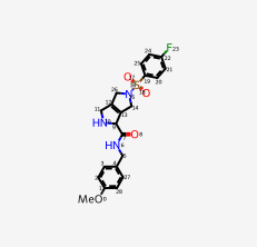 COc1ccc(CNC(=O)C2NCC3=C2CN(S(=O)(=O)c2ccc(F)cc2)C3)cc1